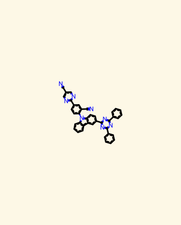 N#Cc1cnc(-c2ccc(-n3c4ccccc4c4cc(-c5nc(-c6ccccc6)nc(-c6ccccc6)n5)ccc43)c(C#N)c2)nc1